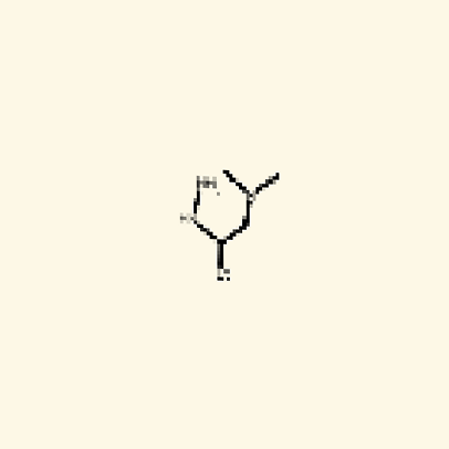 CCC(CN(C)C)NN